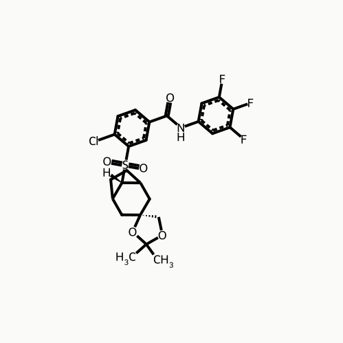 CC1(C)OC[C@]2(CC3CCC(C2)[C@@H]3S(=O)(=O)c2cc(C(=O)Nc3cc(F)c(F)c(F)c3)ccc2Cl)O1